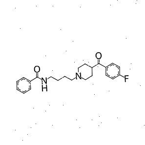 O=C(NCCCCN1CCC(C(=O)c2ccc(F)cc2)CC1)c1ccccc1